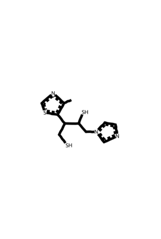 Cc1ncsc1C(CS)C(S)Cn1ccnc1